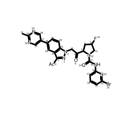 CC(=O)c1nn(CC(=O)C2CC(F)CN2C(=O)Nc2cccc(Br)n2)c2ccc(-c3cnc(C)nc3)cc12